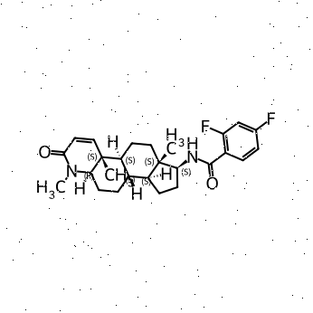 CN1C(=O)C=C[C@]2(C)[C@H]3CC[C@]4(C)[C@@H](NC(=O)c5ccc(F)cc5F)CC[C@H]4[C@@H]3CC[C@@H]12